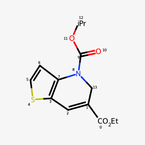 CCOC(=O)C1=Cc2sccc2N(C(=O)OC(C)C)C1